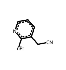 CCCc1ncccc1CC#N